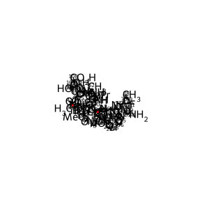 CC[C@H](C)[C@@H]([C@@H](CC(=O)N1CCC[C@H]1C[C@@H](C)C(O)N[C@H](C)[C@@H](O)c1ccccc1)OC)N(C)C(=O)[C@@H](NC(=O)[C@H](C(C)C)N(C)C(=O)OCc1ccc(NC(=O)[C@H](C)NC(=O)[C@@H](NC(=O)CCOCCC(=O)NCCNc2ncc(-c3cc(C)cc(F)c3)c(N3CCC(N)CC3)c2-c2nc3ccc(Cl)cc3[nH]2)C(C)C)c(O[C@@H]2O[C@H](C(=O)O)C[C@H](O)[C@H]2O)c1)C(C)C